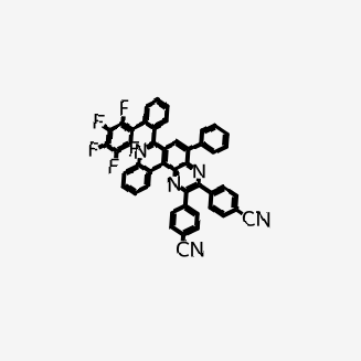 N#Cc1ccc(-c2nc3c(-c4ccccc4)cc4c(-c5ccccc5-c5c(F)c(F)c(F)c(F)c5F)nc5ccccc5c4c3nc2-c2ccc(C#N)cc2)cc1